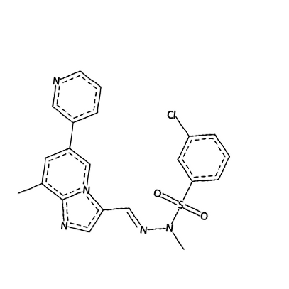 Cc1cc(-c2cccnc2)cn2c(C=NN(C)S(=O)(=O)c3cccc(Cl)c3)cnc12